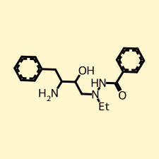 CCN(CC(O)C(N)Cc1ccccc1)NC(=O)c1ccccc1